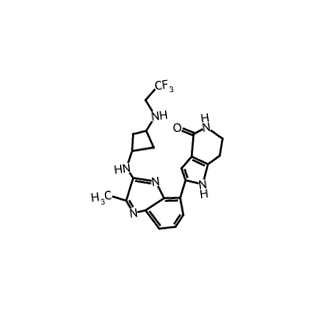 Cc1nc2cccc(-c3cc4c([nH]3)CCNC4=O)c2nc1NC1CC(NCC(F)(F)F)C1